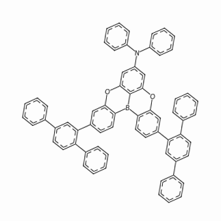 c1ccc(-c2ccc(-c3ccccc3)c(-c3ccc4c(c3)Oc3cc(N(c5ccccc5)c5ccccc5)cc5c3B4c3ccc(-c4cc(-c6ccccc6)ccc4-c4ccccc4)cc3O5)c2)cc1